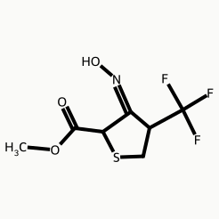 COC(=O)C1SCC(C(F)(F)F)C1=NO